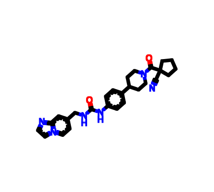 N#CC1(C(=O)N2CCC(c3ccc(NC(=O)NCc4ccn5ccnc5c4)cc3)CC2)CCCC1